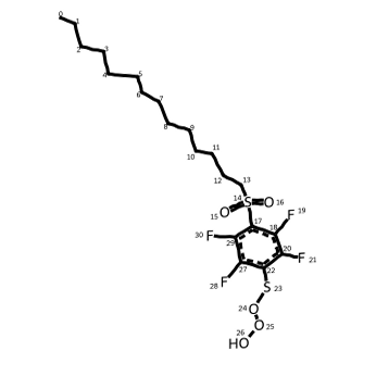 CCCCCCCCCCCCCCS(=O)(=O)c1c(F)c(F)c(SOOO)c(F)c1F